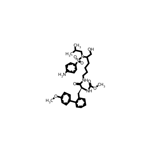 COC(=O)N[C@@H](Cc1ccccc1-c1ccc(OC)cc1)C(=O)NCCCCC(CO)N(CC(C)C)S(=O)(=O)c1ccc(N)cc1